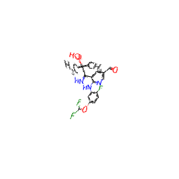 CC(C)(O)C(=N)c1cc(C=O)cnc1Nc1cc(OC(F)F)ccc1F